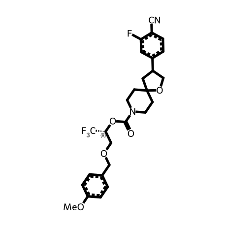 COc1ccc(COC[C@@H](OC(=O)N2CCC3(CC2)CC(c2ccc(C#N)c(F)c2)CO3)C(F)(F)F)cc1